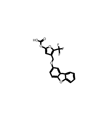 O=C(O)Oc1cc(COc2ccc3oc4ccccc4c3c2)c(C(F)(F)F)o1